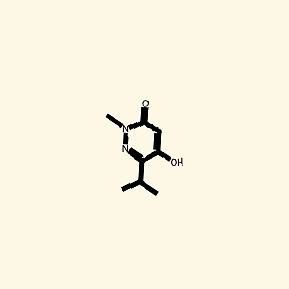 CC(C)c1nn(C)c(=O)cc1O